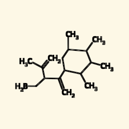 BCC(C(=C)C)C(=C)C1CC(C)C(C)C(C)C1C